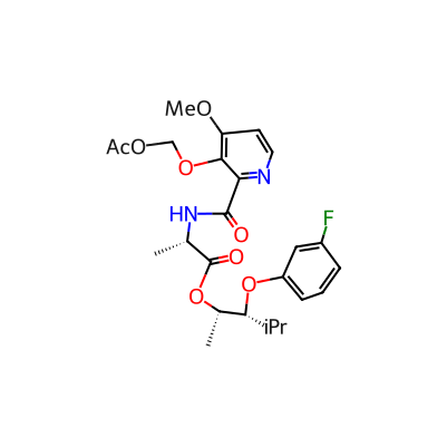 COc1ccnc(C(=O)N[C@@H](C)C(=O)O[C@@H](C)[C@H](Oc2cccc(F)c2)C(C)C)c1OCOC(C)=O